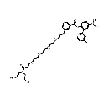 CCN(CC)c1ccc(NC(=O)c2cccc(CCCOCCOCCOCCOCCC(=O)N(CCO)CCO)c2)c(-c2cc(C)ccn2)c1